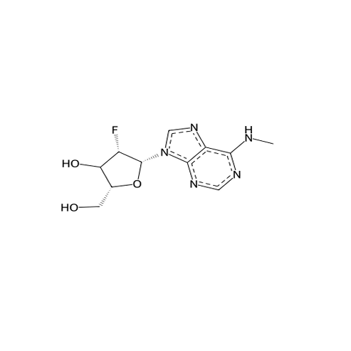 CNc1ncnc2c1ncn2[C@@H]1O[C@H](CO)C(O)[C@@H]1F